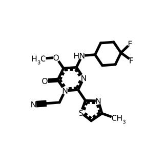 COc1c(NC2CCC(F)(F)CC2)nc(-c2nc(C)cs2)n(CC#N)c1=O